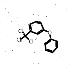 ClC(Cl)(Cl)c1cccc(Oc2ccccc2)c1